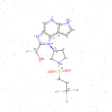 C[C@@H](O)c1nc2cnc3[nH]ccc3c2n1[C@H]1CCN(S(=O)(=O)CCC(F)(F)F)C1